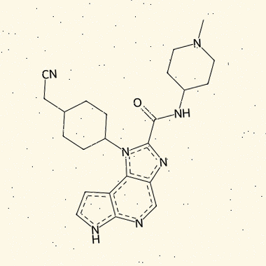 CN1CCC(NC(=O)c2nc3cnc4[nH]ccc4c3n2C2CCC(CC#N)CC2)CC1